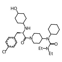 CCN(CC)C(=O)N(C1CCCCC1)C1CCN(C(=O)[C@@H](Cc2ccc(Cl)cc2)NC2CCC(O)CC2)CC1